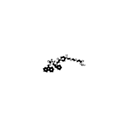 CN(Cc1cc2ccccc2n1CCC(=O)N1CCC(NCCOCCOCCC(=O)OC(C)(C)C)CC1)N(C)C(=O)OCC1c2ccccc2-c2ccccc21